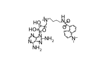 CN(C)c1cccc2c(S(=O)(=O)NCCCC[N+]3(C[C@H]4O[C@@H](n5c(N)nc6c(N)ncnc65)[C@H](O)[C@@H]4O)CC3)cccc12